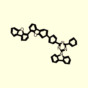 c1ccc(-c2nc(-c3ccc(-c4ccc5c(c4)oc4c(-c6cccc7c6oc6ccccc67)cccc45)cc3)nc(-n3c4ccccc4c4ccccc43)n2)cc1